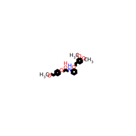 COCCc1ccc(OC[C@H](O)CN[C@@H]2CCCC[C@@H]2OCCc2ccc(OC)c(OC)c2)cc1